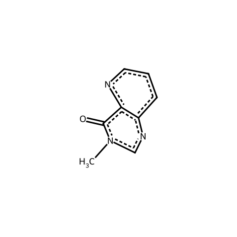 Cn1cnc2cccnc2c1=O